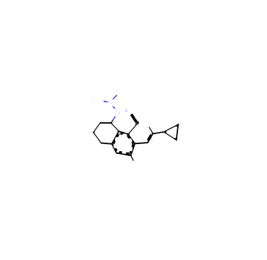 C=Cc1c(/C=C(\C)C2CC2)c(C)cc2c1C(NN(C)C)CCC2